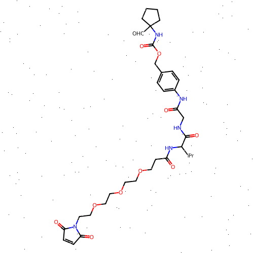 CC(C)C(NC(=O)CCOCCOCCOCCN1C(=O)C=CC1=O)C(=O)NCC(=O)Nc1ccc(COC(=O)NC2(C=O)CCCC2)cc1